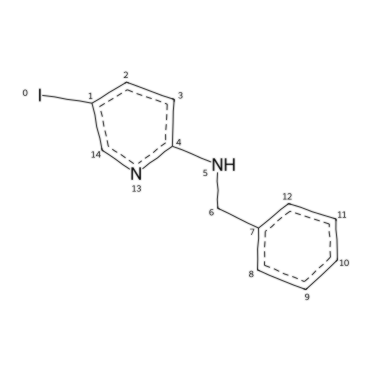 Ic1ccc(NCc2ccccc2)nc1